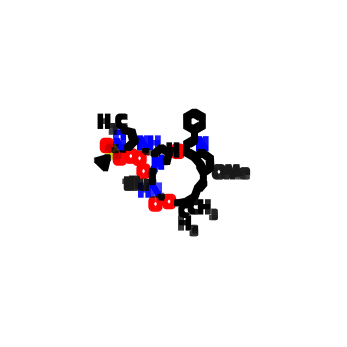 C=C/C=C(/NC(=O)[C@@H]1C[C@@H]2CN1C(=O)[C@H](C(C)(C)C)NC(=O)OCC(C)(C)C/C=C/c1cc3c(cc(-c4ccccc4)nc3cc1OC)O2)C(=O)NS(=O)(=O)C1CC1